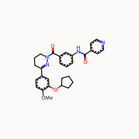 COc1ccc(C2=NN(C(=O)c3cccc(NC(=O)c4ccncc4)c3)CCC2)cc1OC1CCCC1